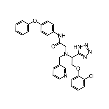 O=C(CN(Cc1cccnc1)C(COc1ccccc1Cl)c1nnn[nH]1)Nc1ccc(Oc2ccccc2)cc1